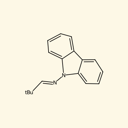 CC(C)(C)C=Nn1c2ccccc2c2ccccc21